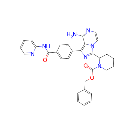 Nc1nccn2c(C3CCCCN3C(=O)OCc3ccccc3)nc(-c3ccc(C(=O)Nc4ccccn4)cc3)c12